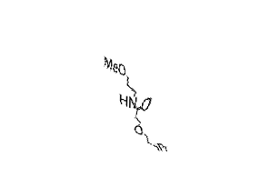 COCCCNC(=O)CCOCCC(C)C